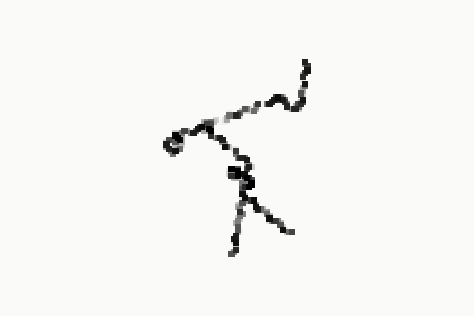 CCCCC/C=C\C/C=C\CCCCCCCCN(CCCCCCC(C)C(=O)OCC(CCCCCCC)CCCCCCC)CCCN1CCCC1